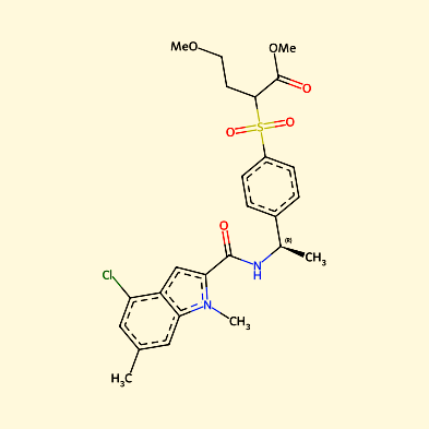 COCCC(C(=O)OC)S(=O)(=O)c1ccc([C@@H](C)NC(=O)c2cc3c(Cl)cc(C)cc3n2C)cc1